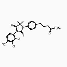 COC(=O)CCCc1ccc(N2C(=S)N(c3ccc(C#N)c(Cl)c3F)C(=O)C2(C)C)cc1